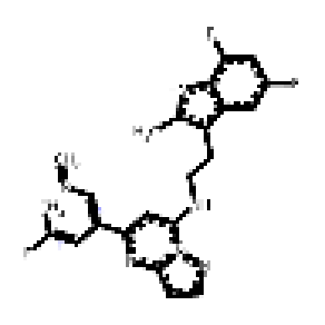 C=N/C=C(\C=C(/C)F)c1cc(NCCc2c(C)[nH]c3c(F)cc(F)cc23)n2nccc2n1